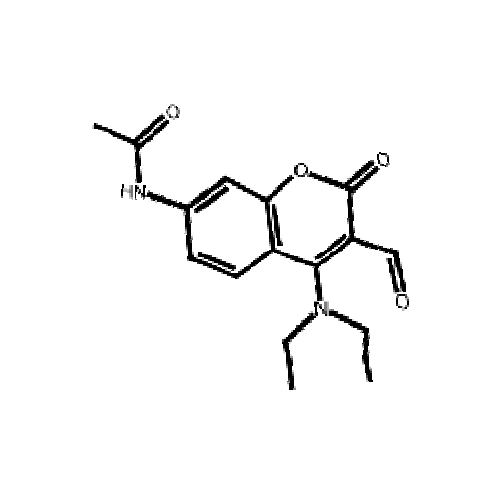 CCN(CC)c1c(C=O)c(=O)oc2cc(NC(C)=O)ccc12